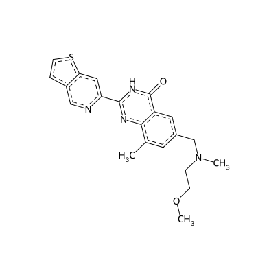 COCCN(C)Cc1cc(C)c2nc(-c3cc4sccc4cn3)[nH]c(=O)c2c1